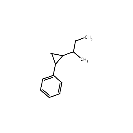 CCC(C)C1[CH]C1c1ccccc1